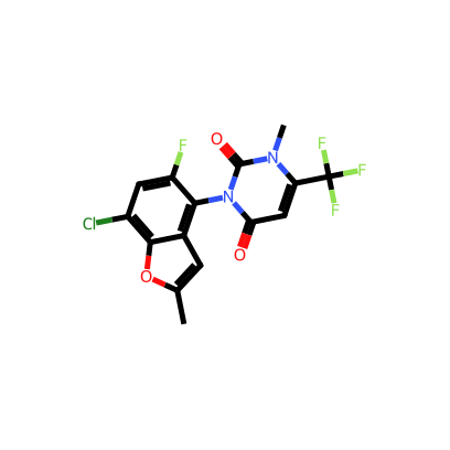 Cc1cc2c(-n3c(=O)cc(C(F)(F)F)n(C)c3=O)c(F)cc(Cl)c2o1